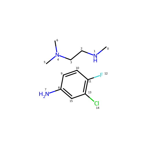 CNCCN(C)C.Nc1ccc(F)c(Cl)c1